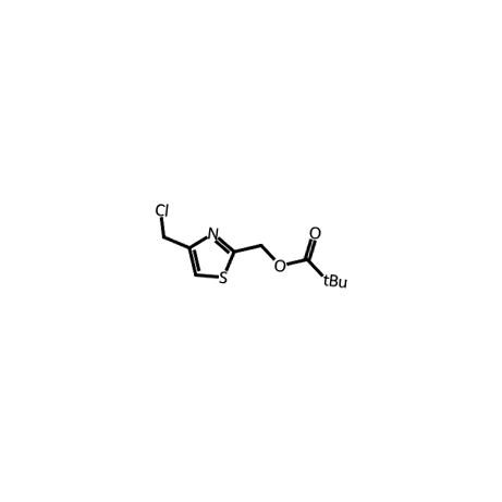 CC(C)(C)C(=O)OCc1nc(CCl)cs1